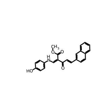 COC(=O)C(=CNc1ccc(O)cc1)C(=O)C=Cc1ccc2ccccc2c1